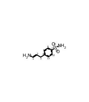 NC=CCc1ccc(S(N)(=O)=O)cc1